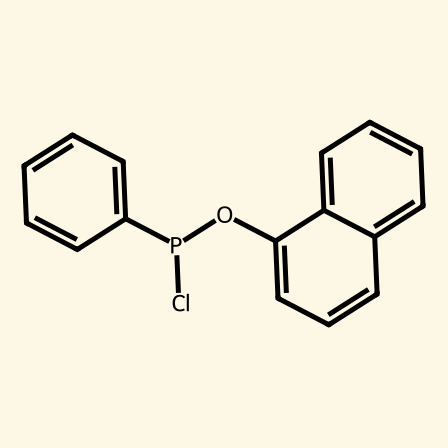 ClP(Oc1cccc2ccccc12)c1ccccc1